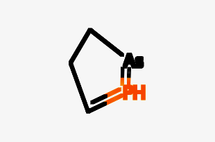 C1=[PH]=[As]CC1